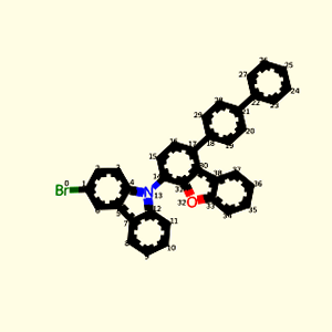 Brc1ccc2c(c1)c1ccccc1n2-c1ccc(-c2ccc(-c3ccccc3)cc2)c2c1oc1ccccc12